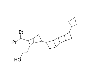 CCC(C(C)C)C1C(CCO)C2C(C3CC4C3C3C5C(C6CCC6)CC5C43)CC12